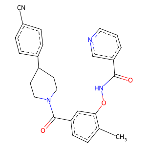 Cc1ccc(C(=O)N2CCC(c3ccc(C#N)cc3)CC2)cc1ONC(=O)c1cccnc1